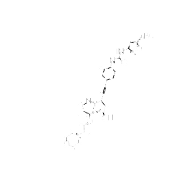 CN1C=C(C#Cc2ccc(NC(=O)Nc3cc(C(C)(C)C)on3)cc2)C2N=CC=C(OCCN3CCOCC3)N21